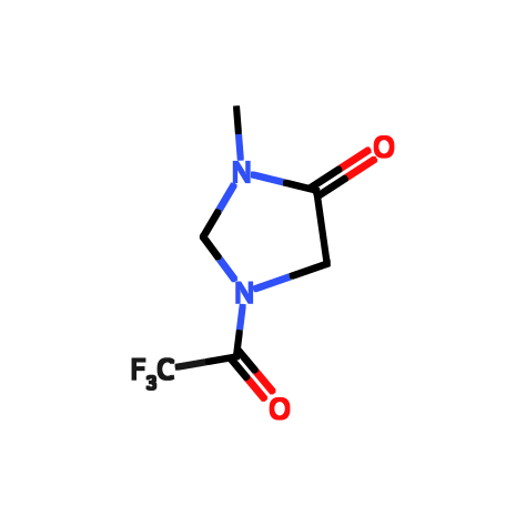 CN1CN(C(=O)C(F)(F)F)CC1=O